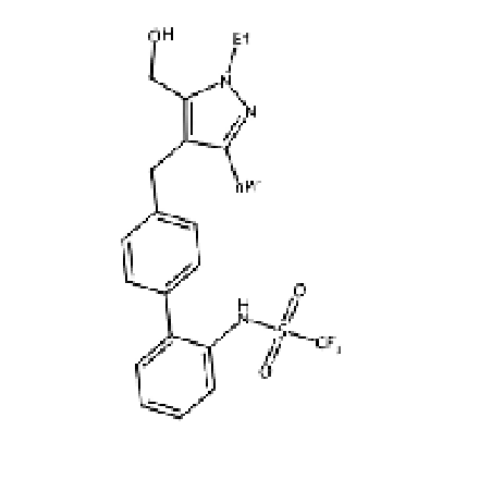 CCCc1nn(CC)c(CO)c1Cc1ccc(-c2ccccc2NS(=O)(=O)C(F)(F)F)cc1